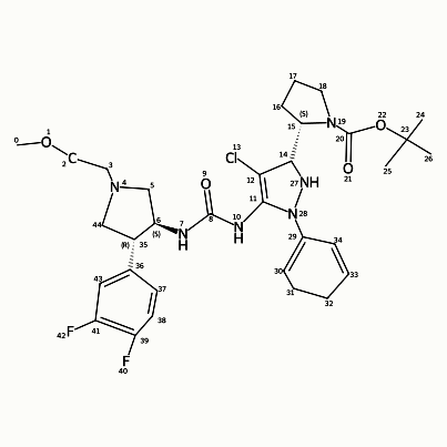 COCCN1C[C@@H](NC(=O)NC2=C(Cl)C([C@@H]3CCCN3C(=O)OC(C)(C)C)NN2C2=CCCC=C2)[C@H](c2ccc(F)c(F)c2)C1